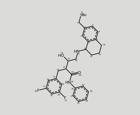 CC(C)(C)Cc1ccc2c(c1)C(NCC(O)C(Cc1cc(F)cc(F)c1)C(=O)Nc1ccccc1)CCC2